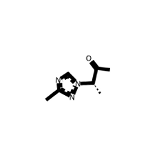 CC(=O)[C@H](C)n1cnc(C)n1